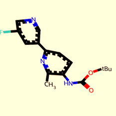 Cc1nc(-c2cncc(F)c2)ccc1NC(=O)OC(C)(C)C